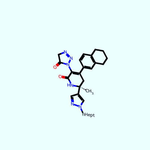 CCCCCCCn1cc([C@]2(C)CC(c3ccc4c(c3)CCCC4)=C(N3N=NCC3=O)C(=O)N2)cn1